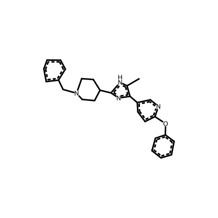 Cc1[nH]c(C2CCN(Cc3ccccc3)CC2)nc1-c1ccc(Oc2ccccc2)nc1